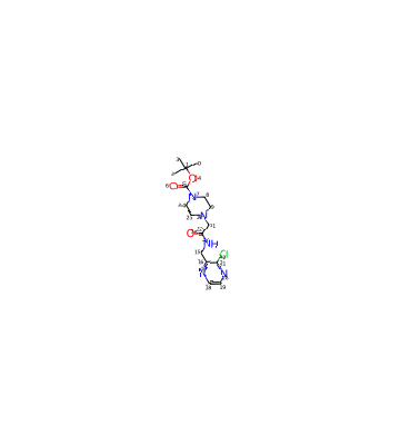 CC(C)(C)OC(=O)N1CCN(CC(=O)NCc2nccnc2Cl)CC1